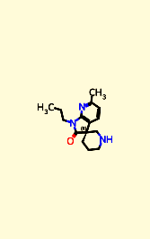 CCCN1C(=O)[C@]2(CCCNC2)c2ccc(C)nc21